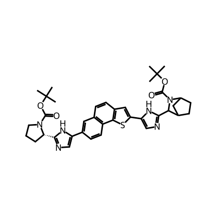 CC(C)(C)OC(=O)N1C2CCC(C2)C1c1ncc(-c2cc3ccc4cc(-c5cnc([C@@H]6CCCN6C(=O)OC(C)(C)C)[nH]5)ccc4c3s2)[nH]1